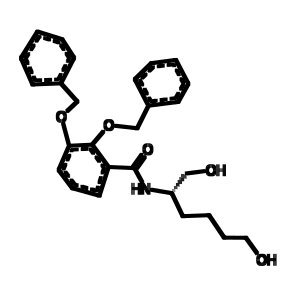 O=C(N[C@H](CO)CCCCO)c1cccc(OCc2ccccc2)c1OCc1ccccc1